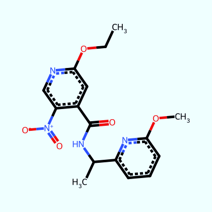 CCOc1cc(C(=O)NC(C)c2cccc(OC)n2)c([N+](=O)[O-])cn1